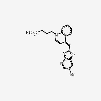 CCOC(=O)CCCN1C=CC(=Cc2nc3ncc(Br)cc3o2)c2ccccc21